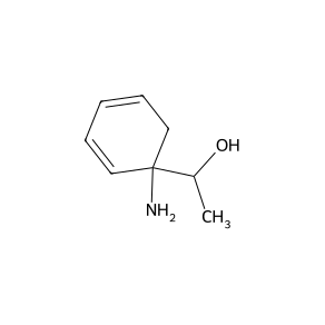 CC(O)C1(N)C=CC=CC1